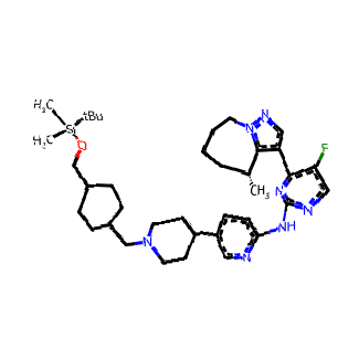 C[C@@H]1CCCCn2ncc(-c3nc(Nc4ccc(C5CCN(CC6CCC(CO[Si](C)(C)C(C)(C)C)CC6)CC5)cn4)ncc3F)c21